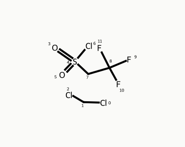 ClCCl.O=S(=O)(Cl)CC(F)(F)F